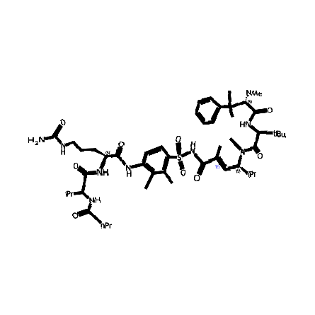 CCCC(=O)NC(C(=O)N[C@@H](CCCNC(N)=O)C(=O)Nc1ccc(S(=O)(=O)NC(=O)/C(C)=C/[C@H](C(C)C)N(C)C(=O)C(NC(=O)[C@@H](NC)C(C)(C)c2ccccc2)C(C)(C)C)c(C)c1C)C(C)C